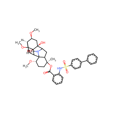 CO[C@H]1C[C@]2(O)C3CC4C(C5C[C@H]1[C@H](OC)[C@@]52O)([C@@H](OC)CC[C@]4(C)OC(=O)c1ccccc1NS(=O)(=O)c1ccc(-c2ccccc2)cc1)N3C